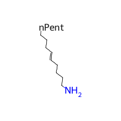 CCCCCCCC/C=C/CCCCN